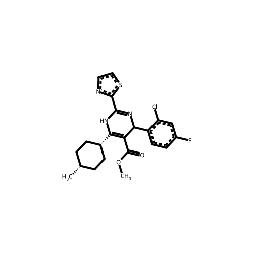 COC(=O)C1=C([C@H]2CC[C@@H](C)CC2)NC(c2nccs2)=NC1c1ccc(F)cc1Cl